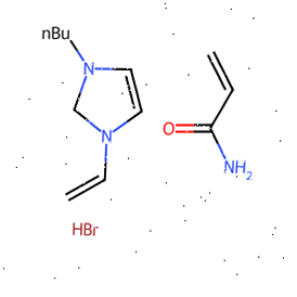 Br.C=CC(N)=O.C=CN1C=CN(CCCC)C1